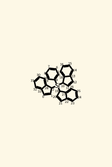 C1=CC([Si](c2ccccc2)(C2C=Cc3ccccc32)C2C=Cc3ccccc32)c2ccccc21